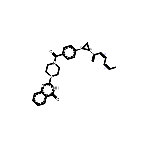 C=C(/C=C\C=C/C)[C@H]1C[C@@H]1c1ccc(C(=O)N2CCN(c3nc4ccccc4c(=O)[nH]3)CC2)cc1